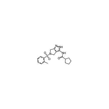 Cc1ccccc1S(=O)(=O)N1Cc2n[nH]c(NC(=O)C3CCCC3)c2C1